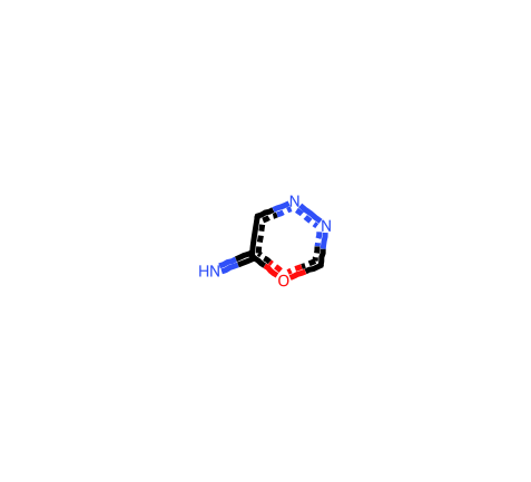 N=c1cnnco1